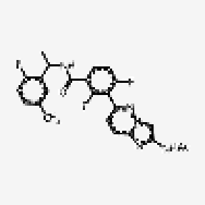 CC(=O)Nc1cn2nc(-c3c(F)ccc(C(=O)NC(C)c4cc(C(F)(F)F)ccc4F)c3F)ccc2n1